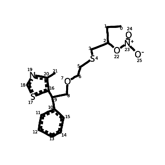 CCC(CSCCOCC(c1ccccc1)c1scnc1C)O[N+](=O)[O-]